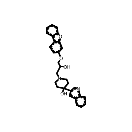 O[C@H](COc1ccc2c(c1)oc1ccccc12)CN1CCC(O)(c2cnc3ccccc3c2)CC1